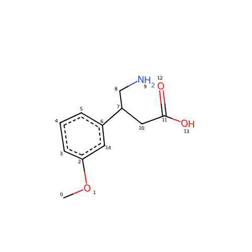 COc1cccc(C(CN)CC(=O)O)c1